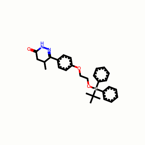 CC1CC(=O)NN=C1c1ccc(OCCO[Si](c2ccccc2)(c2ccccc2)C(C)(C)C)cc1